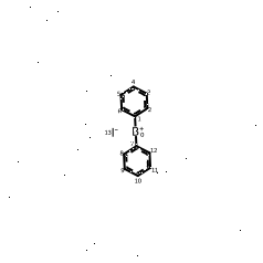 [B+](c1ccccc1)c1ccccc1.[I-]